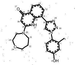 Cc1cc(O)ccc1-n1cc(-c2cccc3c(=O)cc(N4CCCOCC4)[nH]c23)nn1